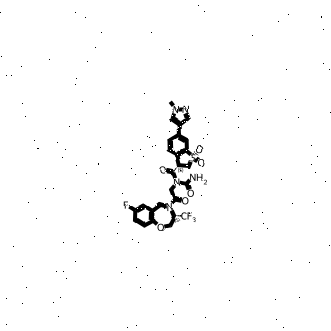 Cn1cc(-c2ccc3c(c2)S(=O)(=O)C[C@@H]3C(=O)N(CC(=O)N2Cc3cc(F)ccc3OC[C@H]2C(F)(F)F)C(N)=O)cn1